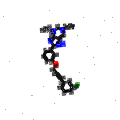 CCCN1C=C2NC(c3cccc(OCC#Cc4cccc(F)c4)c3)N=C2N(CCC)C1